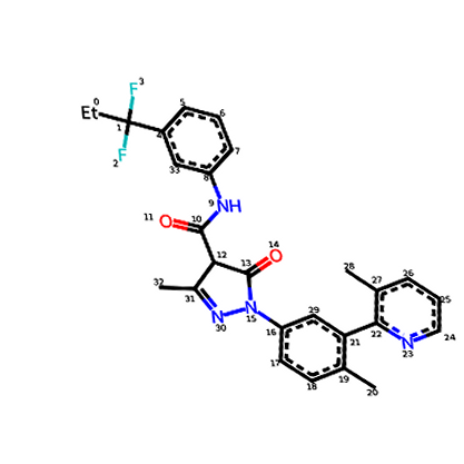 CCC(F)(F)c1cccc(NC(=O)C2C(=O)N(c3ccc(C)c(-c4ncccc4C)c3)N=C2C)c1